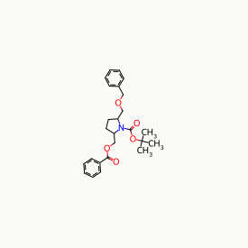 CC(C)(C)OC(=O)N1C(COCc2ccccc2)CCC1COC(=O)c1ccccc1